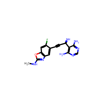 CNc1nc2cc(C#CC(=N)c3c(N)ncnc3N)c(F)cc2o1